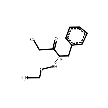 NCOB[C@@H](Cc1ccccc1)C(=O)CCl